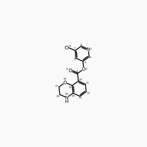 O=C(Oc1cncc(Cl)c1)c1cccc2c1OCCN2